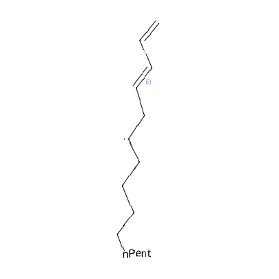 C=C/C=C/C[CH]CCCCCCCCC